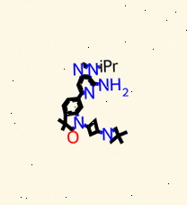 CC(C)n1cnc2cc(-c3ccc4c(c3)N(C3CC(N5CC(C)(C)C5)C3)C(=O)C4(C)C)nc(N)c21